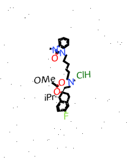 COCC(=O)O[C@]1(CCN(C)CCCCCCn2c(=O)n(C)c3ccccc32)CCc2cc(F)ccc2[C@@H]1C(C)C.Cl